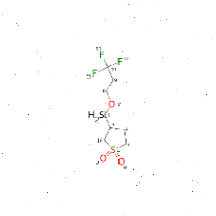 O=S1(=O)CCC([SiH2]OCCC(F)(F)F)C1